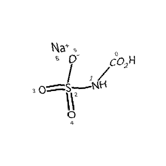 O=C(O)NS(=O)(=O)[O-].[Na+]